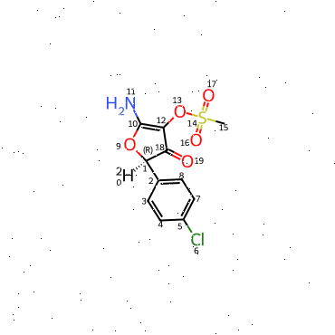 [2H][C@]1(c2ccc(Cl)cc2)OC(N)=C(OS(C)(=O)=O)C1=O